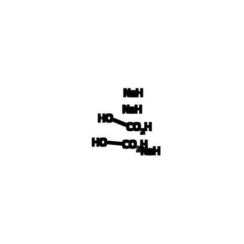 O=C(O)O.O=C(O)O.[NaH].[NaH].[NaH]